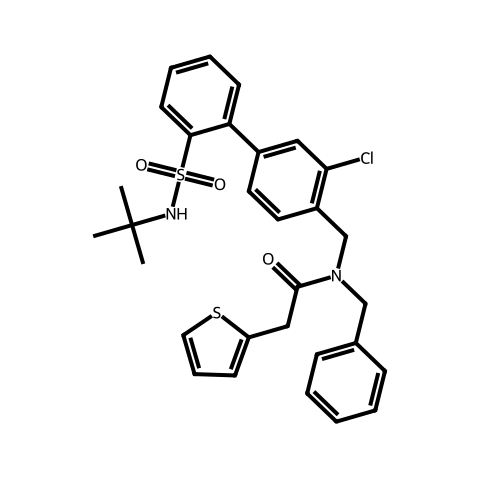 CC(C)(C)NS(=O)(=O)c1ccccc1-c1ccc(CN(Cc2ccccc2)C(=O)Cc2cccs2)c(Cl)c1